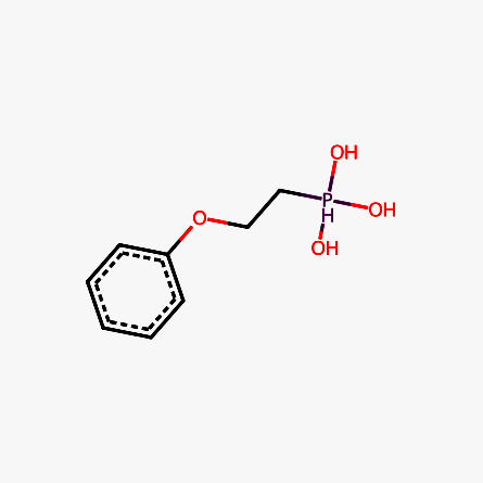 O[PH](O)(O)CCOc1ccccc1